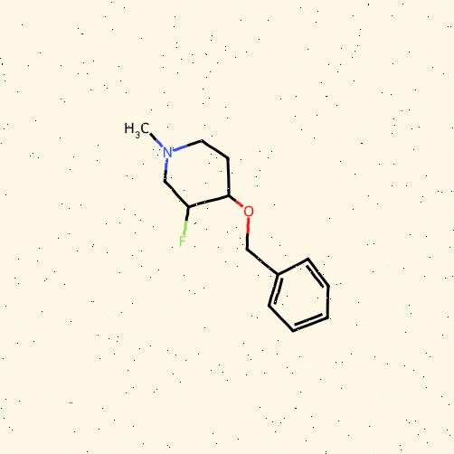 CN1CCC(OCc2ccccc2)C(F)C1